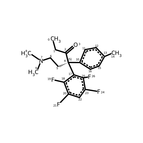 CCC(=O)[C@@](CCN(C)C)(c1ccc(C)cc1)c1c(F)c(F)cc(F)c1F